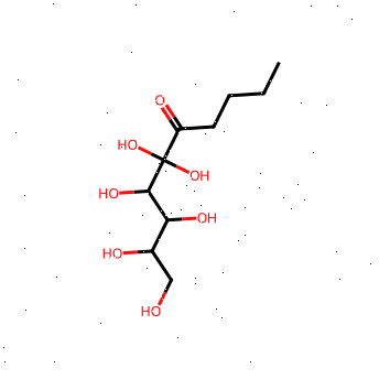 CCCCC(=O)C(O)(O)C(O)C(O)C(O)CO